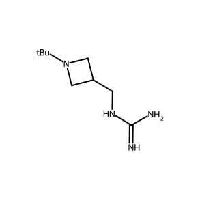 CC(C)(C)N1CC(CNC(=N)N)C1